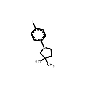 CC1(O)CCN(c2ccc(I)cc2)C1